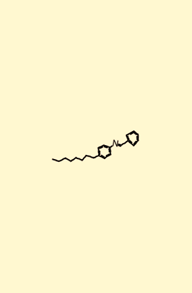 CCCCCCCCc1ccc(/N=C/c2ccccc2)cc1